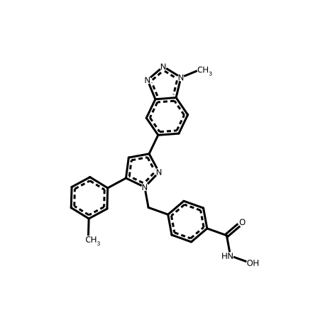 Cc1cccc(-c2cc(-c3ccc4c(c3)nnn4C)nn2Cc2ccc(C(=O)NO)cc2)c1